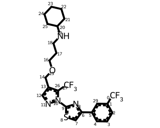 FC(F)(F)c1cccc(-c2csc(-n3ncc(COCCCNC4CCCCC4)c3C(F)(F)F)n2)c1